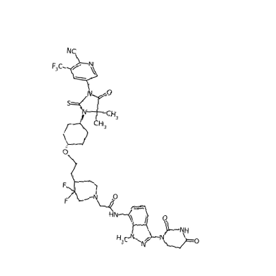 Cn1nc(N2CCC(=O)NC2=O)c2cccc(NC(=O)CN3CCC(CCO[C@H]4CC[C@H](N5C(=S)N(c6cnc(C#N)c(C(F)(F)F)c6)C(=O)C5(C)C)CC4)C(F)(F)C3)c21